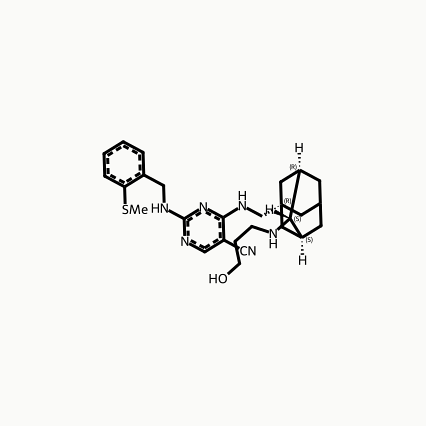 CSc1ccccc1CNc1ncc(C#N)c(NC[C@@]23CC4C[C@H](C2)[C@@H](NCCCO)[C@@H](C4)C3)n1